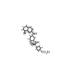 CCOC(=O)c1ccc(C(=O)Nc2cc(Nc3ncc4cccc(Br)c4n3)ccc2OC)cc1